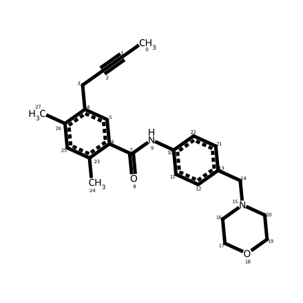 CC#CCc1cc(C(=O)Nc2ccc(CN3CCOCC3)cc2)c(C)cc1C